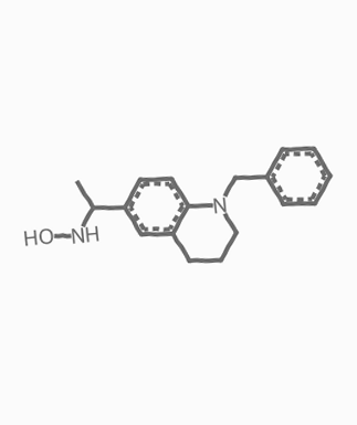 CC(NO)c1ccc2c(c1)CCCN2Cc1ccccc1